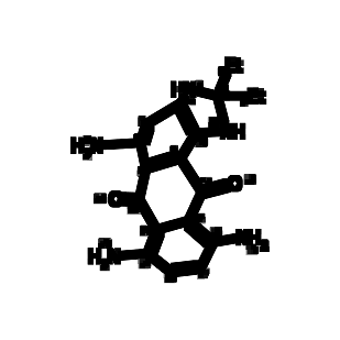 CCC1(CC)Nc2cc(N)c3c(c2N1)C(=O)c1c(N)ccc(N)c1C3=O